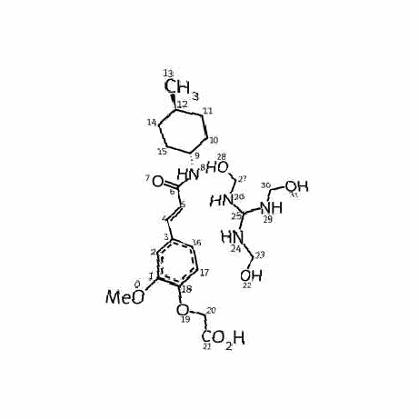 COc1cc(C=CC(=O)N[C@H]2CC[C@H](C)CC2)ccc1OCC(=O)O.OCNC(NCO)NCO